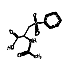 CC(=O)NC(CS(=O)(=O)c1ccccc1)C(=O)O